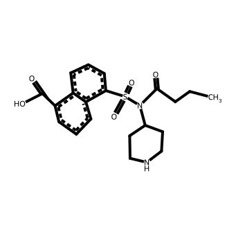 CCCC(=O)N(C1CCNCC1)S(=O)(=O)c1cccc2c(C(=O)O)cccc12